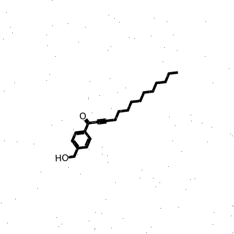 CCCCCCCCCCCC#CC(=O)c1ccc(CO)cc1